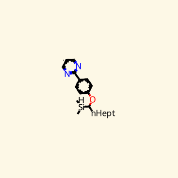 CCCCCCCC(Oc1ccc(-c2nc[c]cn2)cc1)[SiH](C)C